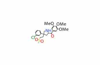 COc1cc(C(=O)C2CC(CCS(C)(=O)=O)(c3cccc(Cl)c3)CN2)cc(OC)c1OC